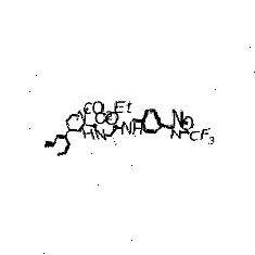 C=C/C=C(\C=C/C)[C@H]1CCN(C(=O)OCC)[C@@H](C(=O)N[C@@H](C)C(=O)NCc2ccc(-c3noc(C(F)(F)F)n3)cc2)C1